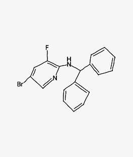 Fc1cc(Br)cnc1NC(c1ccccc1)c1ccccc1